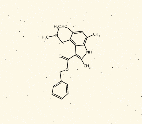 Cc1[nH]c2c(C)cc(O)c(CN(C)C)c2c1C(=O)OCc1ccccc1